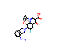 COc1c(N2CC3C4C=CC(N)(CC4)C3C2)c(F)cc2c(=O)c(C(=O)O)cn(C3CC3)c12